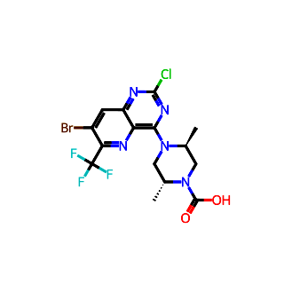 C[C@@H]1CN(c2nc(Cl)nc3cc(Br)c(C(F)(F)F)nc23)[C@@H](C)CN1C(=O)O